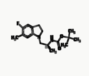 Cc1cc2c(cc1F)CCN2C[C@H](C)NC(=O)OC(C)(C)C